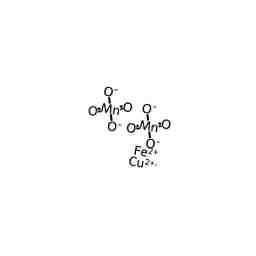 [Cu+2].[Fe+2].[O]=[Mn](=[O])([O-])[O-].[O]=[Mn](=[O])([O-])[O-]